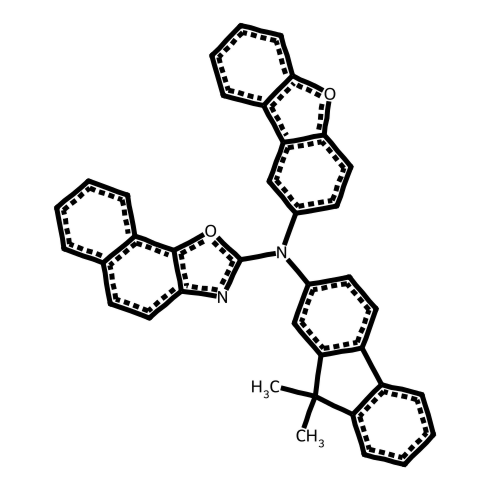 CC1(C)c2ccccc2-c2ccc(N(c3ccc4oc5ccccc5c4c3)c3nc4ccc5ccccc5c4o3)cc21